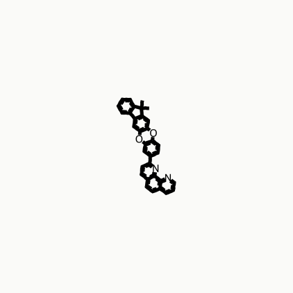 CC1(C)c2ccccc2-c2cc3c(cc21)Oc1ccc(-c2ccc4ccc5cccnc5c4n2)cc1O3